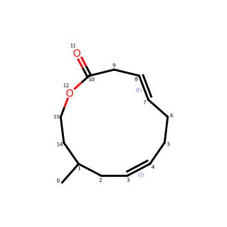 CC1C/C=C\CC/C=C/CC(=O)OCC1